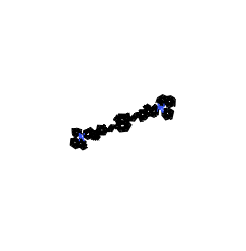 CC1(C)c2cc(/C=C/c3cccc4c(/C=C/c5ccc6c(c5)C(C)(C)c5cc(N(c7ccccc7)c7cccc8ccccc78)ccc5-6)cccc34)ccc2-c2ccc(N(c3ccccc3)c3cccc4ccccc34)cc21